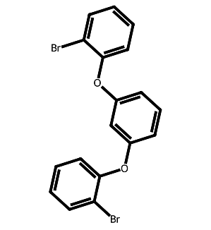 Brc1ccccc1Oc1cccc(Oc2ccccc2Br)c1